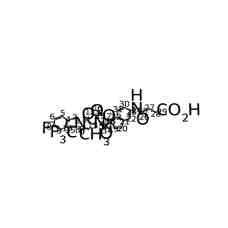 C[C@H](N(Cc1ccc(F)cc1)C(=O)CN1C(=O)O[C@@]2(CCc3cc(NC(=O)CCC(=O)O)ccc32)C1=O)C(F)(F)F